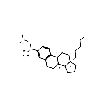 CCCCC[C@@]12CCC[C@H]1[C@@H]1CCc3cc(N(O[SiH](C)C)S(=O)(=O)O)ccc3[C@H]1CC2